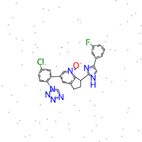 [O-][n+]1cc(-c2cc(Cl)ccc2-n2cnnn2)cc2c1C(c1nc(-c3cccc(F)c3)c[nH]1)CC2